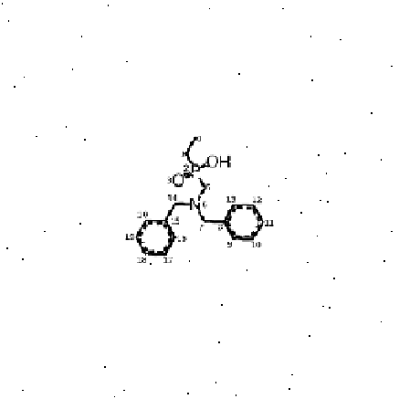 CCP(=O)(O)CN(Cc1ccccc1)Cc1ccccc1